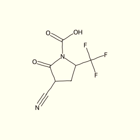 N#CC1CC(C(F)(F)F)N(C(=O)O)C1=O